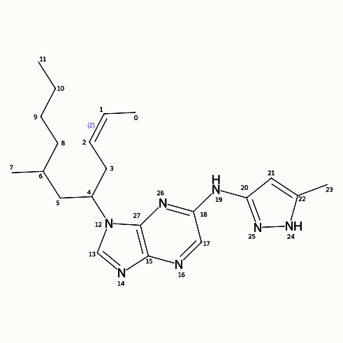 C/C=C\CC(CC(C)CCCC)n1cnc2ncc(Nc3cc(C)[nH]n3)nc21